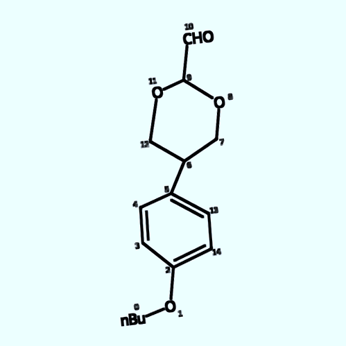 CCCCOc1ccc(C2COC(C=O)OC2)cc1